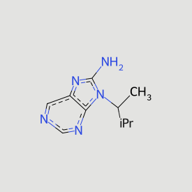 CC(C)C(C)n1c(N)nc2cncnc21